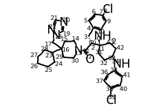 N[C@]1([C@@H](Cc2ccc(Cl)cc2)C(=O)N2CCC(Cn3cncn3)(C3CCCCC3)CC2)CC[C@H](Nc2ccc(Cl)cc2)CC1